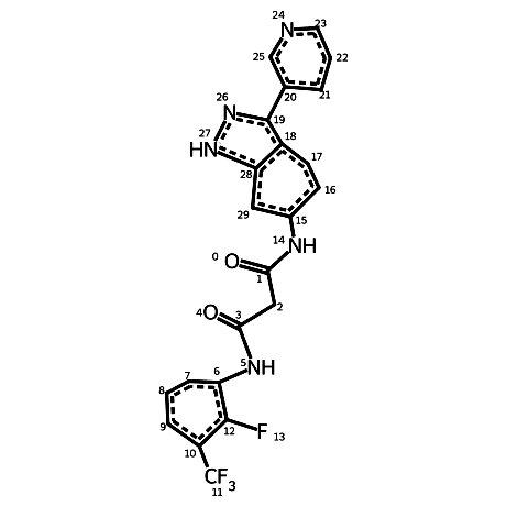 O=C(CC(=O)Nc1cccc(C(F)(F)F)c1F)Nc1ccc2c(-c3cccnc3)n[nH]c2c1